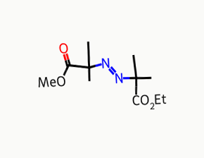 CCOC(=O)C(C)(C)N=NC(C)(C)C(=O)OC